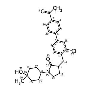 CC(=O)c1ccc(-c2ccc(CC3CCN(C4CCC(C)(O)CC4)C3=O)c(Cl)c2)cc1